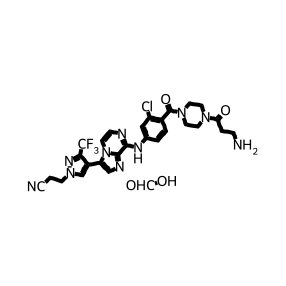 N#CCCn1cc(-c2cnc3c(Nc4ccc(C(=O)N5CCN(C(=O)CCN)CC5)c(Cl)c4)nccn23)c(C(F)(F)F)n1.O=CO